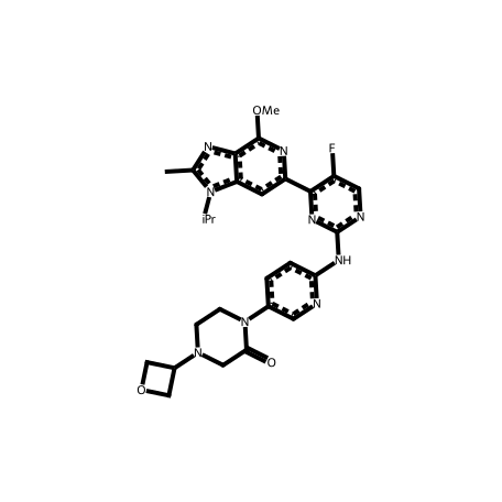 COc1nc(-c2nc(Nc3ccc(N4CCN(C5COC5)CC4=O)cn3)ncc2F)cc2c1nc(C)n2C(C)C